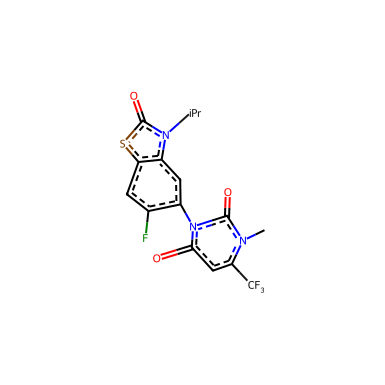 CC(C)n1c(=O)sc2cc(F)c(-n3c(=O)cc(C(F)(F)F)n(C)c3=O)cc21